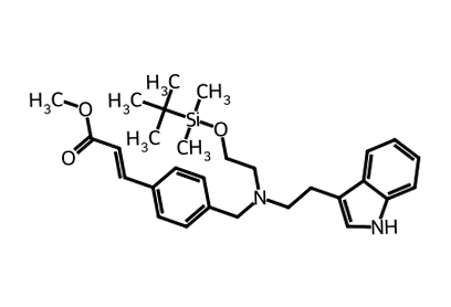 COC(=O)C=Cc1ccc(CN(CCO[Si](C)(C)C(C)(C)C)CCc2c[nH]c3ccccc23)cc1